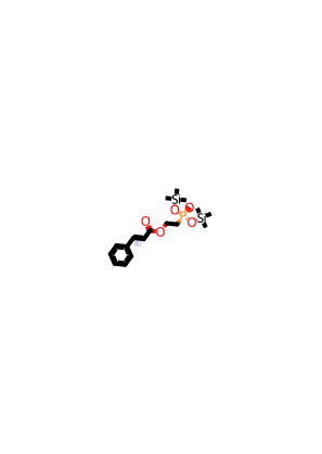 C[Si](C)(C)OP(=O)(CCOC(=O)/C=C/c1ccccc1)O[Si](C)(C)C